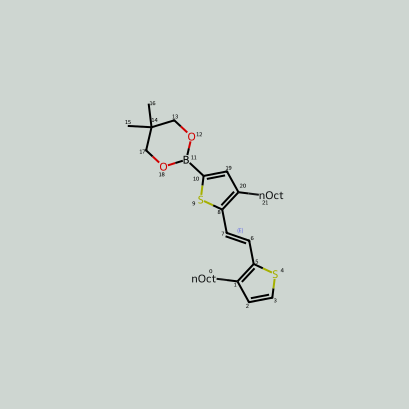 CCCCCCCCc1ccsc1/C=C/c1sc(B2OCC(C)(C)CO2)cc1CCCCCCCC